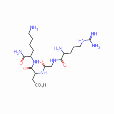 N=C(N)NCCCC(N)C(=O)NCC(=O)NC(CC(=O)O)C(=O)NC(CCCCN)C(N)=O